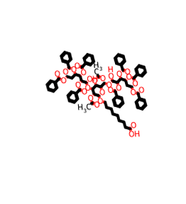 CC(=O)OC1C(COC(O)C(OC(=O)c2ccccc2)C(OC(=O)c2ccccc2)C(CCOC(=O)c2ccccc2)OC(=O)c2ccccc2)OC(OCCCCCCCCC(=O)O)C(OC(C)=O)C1OC(O)C(OC(=O)c1ccccc1)C(OC(=O)c1ccccc1)C(CCOC(=O)c1ccccc1)OC(=O)c1ccccc1